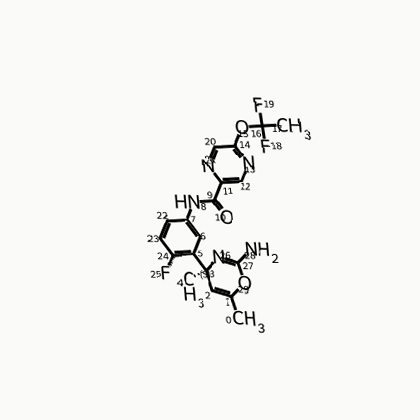 CC1=C[C@@](C)(c2cc(NC(=O)c3cnc(OC(C)(F)F)cn3)ccc2F)N=C(N)O1